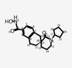 O=C(NO)c1ccc2c(c1)CC[C@@]1(CCCN(C3CCCC3)C1=O)C2